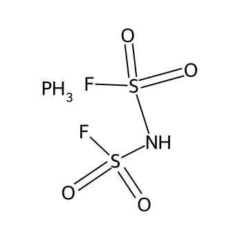 O=S(=O)(F)NS(=O)(=O)F.P